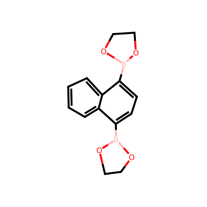 c1ccc2c(B3OCCO3)ccc(B3OCCO3)c2c1